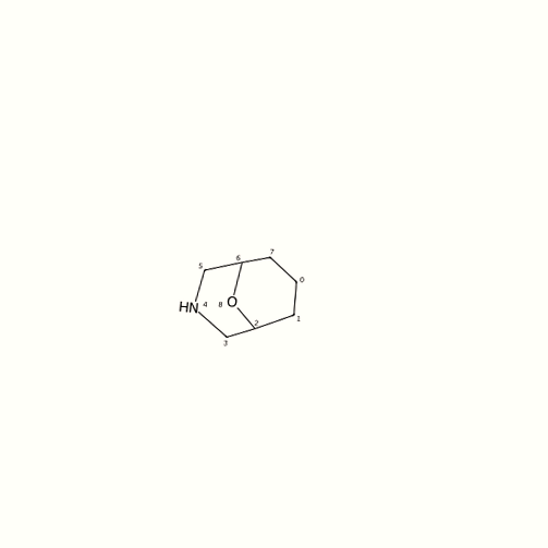 C1CC2CNCC(C1)O2